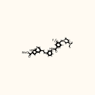 COC(=O)c1cc2cc(CCc3cccc(NC(=O)c4ccc(CN5CCC(N(C)C)C5)c(C(F)(F)F)c4)c3)cnc2[nH]1